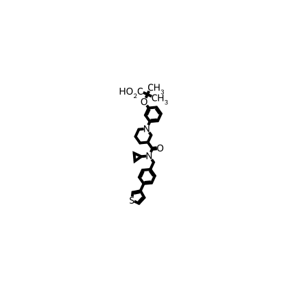 CC(C)(Oc1cccc(N2CCCC(C(=O)N(Cc3ccc(-c4ccsc4)cc3)C3CC3)C2)c1)C(=O)O